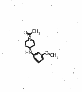 COc1cccc(NC2CCN(C(C)=O)CC2)c1